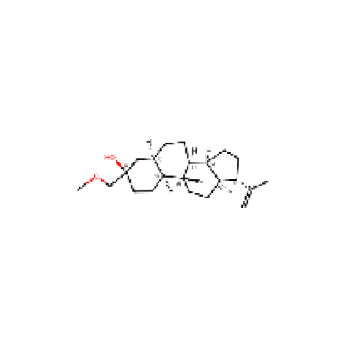 C=C(C)[C@H]1CC[C@H]2[C@@H]3CC[C@@H]4C[C@@](O)(COC)CC[C@@H]4[C@H]3CC[C@]12C